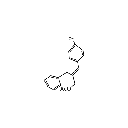 CC(=O)OCC(=Cc1ccc(C(C)C)cc1)Cc1ccccc1